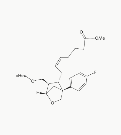 CCCCCCOC[C@@H]1[C@@H]2C[C@@](c3ccc(F)cc3)(CO2)[C@H]1C/C=C\CCCC(=O)OC